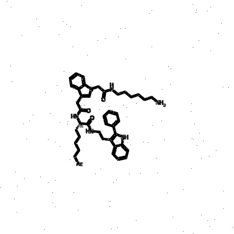 CC(=O)CCCCC[C@H](NC(=O)Cc1cn(CC(=O)NCCCCCCN)c2ccccc12)C(=O)NCCc1c(-c2ccccc2)[nH]c2ccccc12